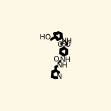 O=C(NCc1cccnc1)Nc1ccc(S(=O)(=O)Nc2cccc(CO)c2)cc1